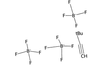 C#CC(C)(C)C.F[B-](F)(F)F.F[B-](F)(F)F.F[B-](F)(F)F